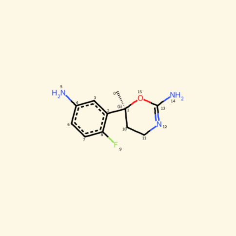 C[C@@]1(c2cc(N)ccc2F)CCN=C(N)O1